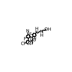 CCN1C(=O)N(c2c(F)cc(NCCNCCO)cc2F)c2cc(C#N)cc(F)c2-c2cc(Cl)cnc21